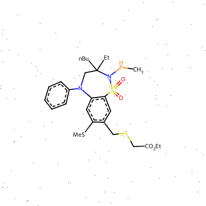 CCCCC1(CC)CN(c2ccccc2)c2cc(SC)c(CSCC(=O)OCC)cc2S(=O)(=O)N1PC